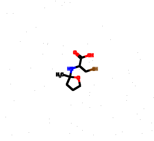 CC1(NC(CS)C(=O)O)CCCO1